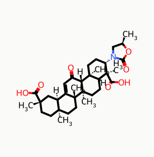 C[C@@H]1CN([C@H]2CC[C@@]3(C)[C@@H](CC[C@]4(C)[C@@H]3C(=O)C=C3[C@@H]5C[C@@](C)(C(=O)O)CC[C@]5(C)CC[C@]34C)[C@]2(C)C(=O)O)C(=O)O1